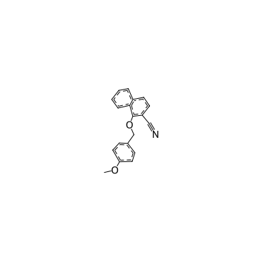 COc1ccc(COc2c(C#N)ccc3ccccc23)cc1